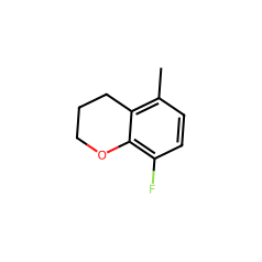 Cc1ccc(F)c2c1CCCO2